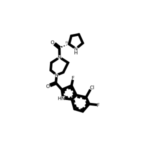 O=C(c1[nH]c2ccc(F)c(Cl)c2c1F)N1CCN(C(=O)[C@@H]2CCCN2)CC1